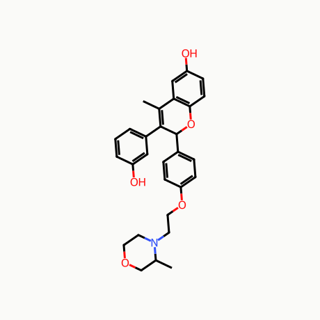 CC1=C(c2cccc(O)c2)C(c2ccc(OCCN3CCOCC3C)cc2)Oc2ccc(O)cc21